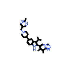 Cc1ncc(CN2CCC(c3ccc4[nH]c(-c5cn6cnnc6c(C)c5C)c(C(C)C)c4c3)CC2)cn1